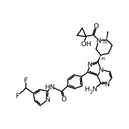 C[C@H]1CC[C@@H](c2nc(-c3ccc(C(=O)Nc4cc(C(F)F)ccn4)cc3)c3c(N)nccn23)CN1C(=O)C1(O)CC1